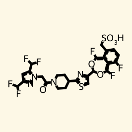 O=C(Cn1nc(C(F)F)cc1C(F)F)N1CCC(c2nc(C3OC(F)=c4c(F)ccc(CS(=O)(=O)O)c4=C(F)O3)cs2)CC1